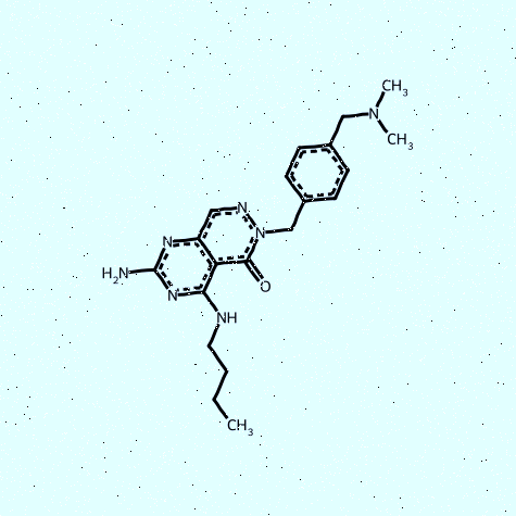 CCCCNc1nc(N)nc2cnn(Cc3ccc(CN(C)C)cc3)c(=O)c12